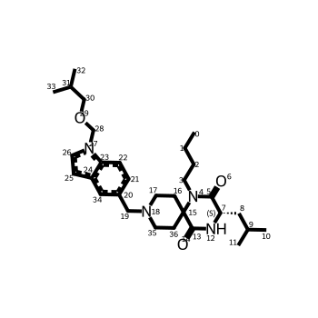 CCCCN1C(=O)[C@H](CC(C)C)NC(=O)C12CCN(Cc1ccc3c(ccn3COCC(C)C)c1)CC2